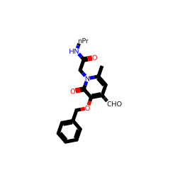 CCCNC(=O)Cn1c(C)cc(C=O)c(OCc2ccccc2)c1=O